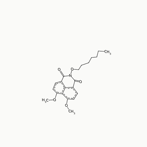 CCCCCCCON1C(=O)c2ccc(OC)c3c(OC)ccc(c23)C1=O